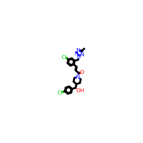 Cc1nnn(Cc2cc(Cl)ccc2/C=C/C(=O)N2CCC([C@@H](O)c3ccc(Cl)cc3)CC2)n1